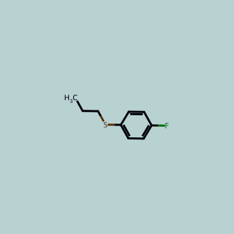 CCCSc1ccc(F)cc1